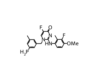 COc1ccc(Nc2nc(=O)c(F)cn2Cc2cc(C)cc(P)c2)c(C)c1F